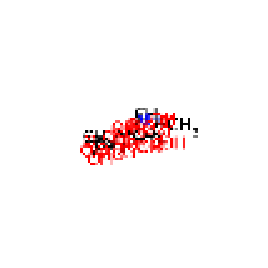 CNC(=O)C1OC(CC2C(C(=O)O)OC(OC)C(O)C2O)C(O)C(O)C1CC1OC(C(=O)O)C(CC2OC(C(=O)O)C(OC)CC2O)CC1O